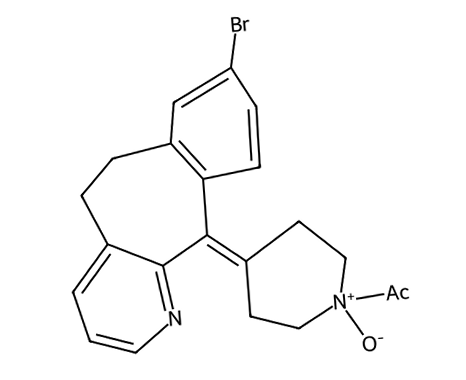 CC(=O)[N+]1([O-])CCC(=C2c3ccc(Br)cc3CCc3cccnc32)CC1